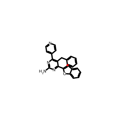 Nc1nc(-c2ccncc2)c(Cc2ccccc2)c(-c2cc3ccccc3o2)n1